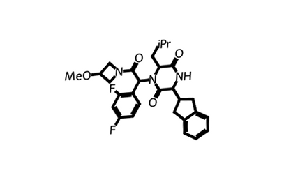 COC1CN(C(=O)C(c2ccc(F)cc2F)N2C(=O)C(C3Cc4ccccc4C3)NC(=O)C2CC(C)C)C1